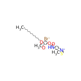 CCCCCCCCCCCCCCOc1ccc(OCC(=O)Nc2ccc(C[n+]3ccsc3C)cc2)cc1C(C)=O.[Br-]